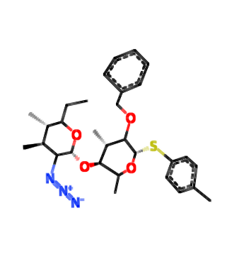 CCC1O[C@H](O[C@@H]2C(C)O[C@@H](Sc3ccc(C)cc3)C(OCc3ccccc3)[C@H]2C)C(N=[N+]=[N-])[C@@H](C)[C@@H]1C